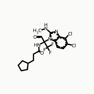 CNc1nc2c(Cl)c(Cl)ccc2n1C(C=O)(NC(=O)CCC1CCCC1)C(F)(F)F